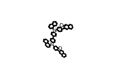 c1ccc2cc3c(cc2c1)oc1cc(N(c2ccc(-c4ccc(N(c5ccc6c(c5)oc5cc7ccccc7cc56)c5cccc6ccccc56)cc4)cc2)c2cccc4ccccc24)ccc13